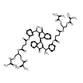 C=C(C)C(=O)OCC(COC(=O)C(=C)C)OC(=O)CCC(=O)Oc1cccc(C(C)C2=C/C(=C3/C=C(C(C)c4cccc(OC(=O)CCC(=O)OC(COC(=O)C(=C)C)COC(=O)C(=C)C)c4)C(=O)c4ccccc43)c3ccccc3C2=O)c1